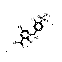 CS(=O)(=O)c1ccc(Cn2cc(Cl)cc(C(N)=O)c2=N)cc1Cl.Cl